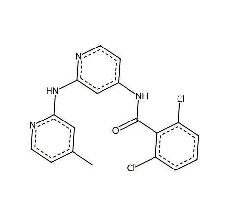 Cc1ccnc(Nc2cc(NC(=O)c3c(Cl)cccc3Cl)ccn2)c1